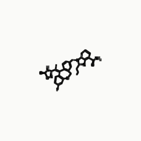 CCCc1nc2c(C(N)=O)cccc2n1Cc1ccc2c(c1)COc1cc(F)ccc1/C2=C(/C)c1noc(=O)[nH]1